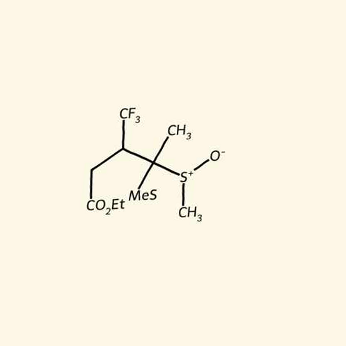 CCOC(=O)CC(C(F)(F)F)C(C)(SC)[S+](C)[O-]